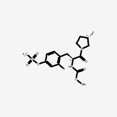 CC(C)(C)OC(=O)N[C@@H](Cc1ccc(OS(=O)(=O)C(F)(F)F)cc1F)C(=O)N1CC[C@H](F)C1